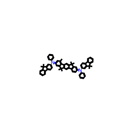 Cc1cc(N(c2ccccc2)c2ccc3c(c2)C(C)(C)c2ccccc2-3)cc2c1-c1cc3c(cc1C2(C)C)-c1ccc(N(c2ccccc2)c2ccc4c(c2)C(C)(C)c2ccccc2-4)cc1C3(C)C